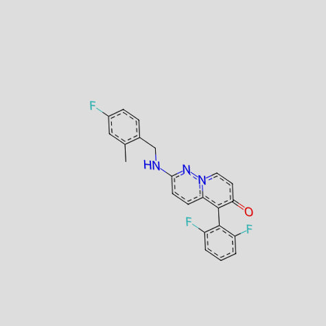 Cc1cc(F)ccc1CNc1ccc2c(-c3c(F)cccc3F)c(=O)ccn2n1